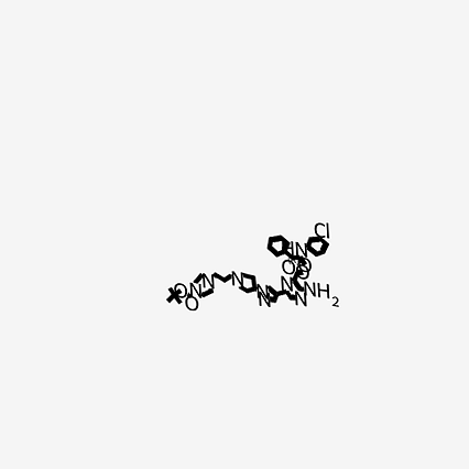 CC(C)(C)OC(=O)N1CCN(CCCN2CCC(n3cc(-c4cnc(N)c(C(=O)O[C@@H](C(=O)Nc5cccc(Cl)c5)c5ccccc5)n4)cn3)CC2)CC1